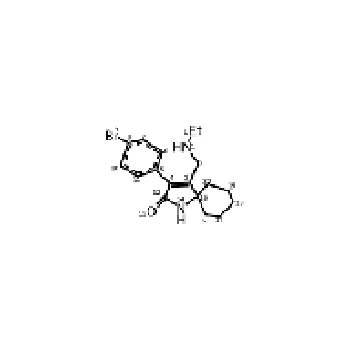 CCNCC1=C(c2ccc(Br)cc2)C(=O)NC12CCCCC2